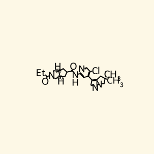 CCC(=O)N1C[C@H]2CC(C(=O)Nc3cc(-c4cnn5c4CC(C)(C)C5)c(Cl)cn3)C[C@H]2C1